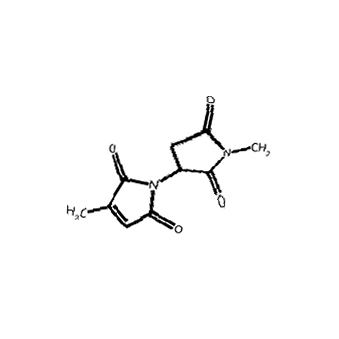 CC1=CC(=O)N(C2CC(=O)N(C)C2=O)C1=O